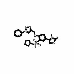 Cn1c(-c2ccc(OCc3cn(-c4ccccc4)nn3)c(S(=O)(=O)NC3CCCC3)c2)csc1=O